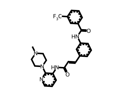 CN1CCN(c2ncccc2NC(=O)C=Cc2cccc(NC(=O)c3cccc(C(F)(F)F)c3)c2)CC1